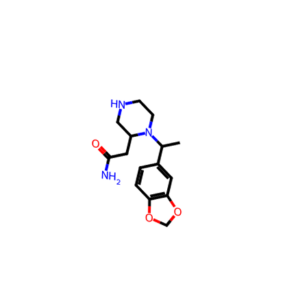 CC(c1ccc2c(c1)OCO2)N1CCNCC1CC(N)=O